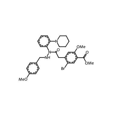 COC(=O)c1cc(Br)c(CC(=O)N(NCc2ccc(OC)cc2)c2ccccc2N2CCCCC2)cc1OC